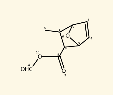 CC1C2C=CC(O2)C1C(=O)OC=O